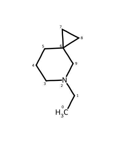 CCN1CCCC2(CC2)C1